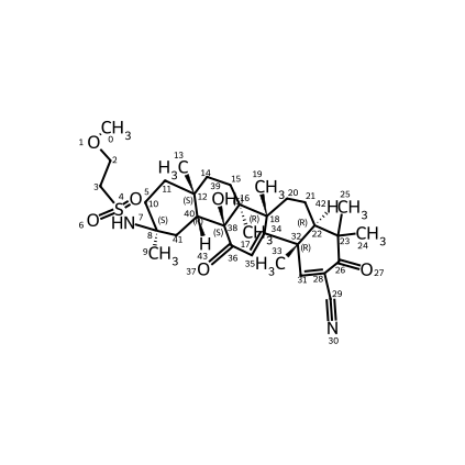 COCCS(=O)(=O)N[C@@]1(C)CC[C@]2(C)CC[C@@]3(C)[C@]4(C)CC[C@H]5C(C)(C)C(=O)C(C#N)=C[C@]5(C)C4=CC(=O)[C@]3(O)[C@@H]2C1